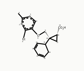 CCc1nc(C)ncc1OC[C@@]1(C2C=CC=CC2)C[C@H]1C(=O)O